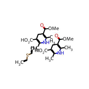 C=CSC=C.COC(=O)C1=C(C)NC(C)=C(C(=O)O)C1.COC(=O)C1=C(C)NC(C)=C(C(=O)O)C1